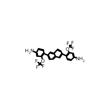 Nc1ccc(-c2ccc3cc(-c4ccc(N)cc4OC(F)(F)F)ccc3c2)c(OC(F)(F)F)c1